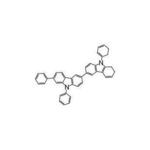 C1=CCCC(n2c3c(c4cc(-c5ccc6c(c5)c5ccc(-c7ccccc7)cc5n6-c5ccccc5)ccc42)C=CCC3)=C1